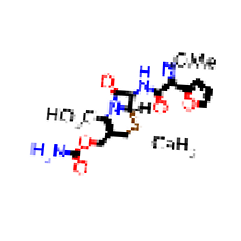 CON=C(C(=O)N[C@@H]1C(=O)N2C(C(=O)O)=C(COC(N)=O)CS[C@H]12)c1ccco1.[CaH2]